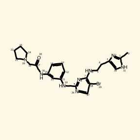 Cc1nc(CCNc2nc(Nc3cccc(NC(=O)CN4CCCC4)c3)ncc2Br)c[nH]1